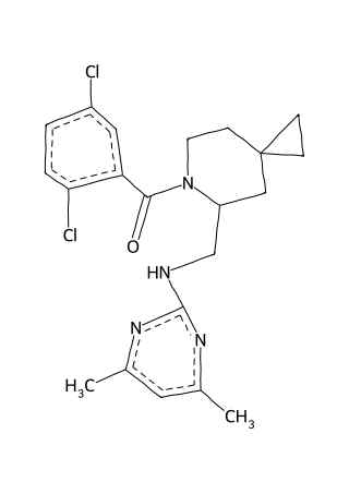 Cc1cc(C)nc(NCC2CC3(CCN2C(=O)c2cc(Cl)ccc2Cl)CC3)n1